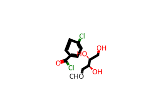 O=C(Cl)c1ccc(Cl)cc1.O=CC[C@H](O)[C@H](O)CO